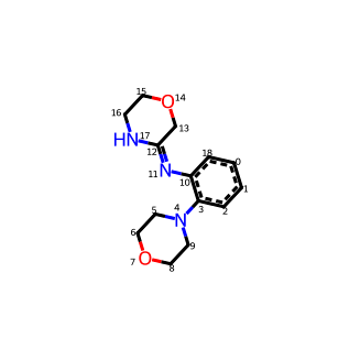 c1ccc(N2CCOCC2)c(/N=C2\COCCN2)c1